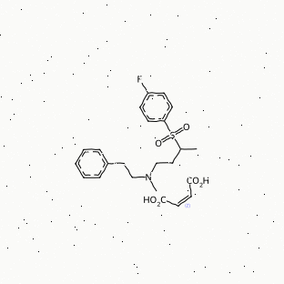 CC(CCN(C)CCc1ccccc1)S(=O)(=O)c1ccc(F)cc1.O=C(O)/C=C\C(=O)O